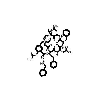 CC(=O)Oc1ccc(C[N+]2(CC(=O)N[C@@H](CCc3ccccc3)C(=O)N[C@@H](CC(C)C)C(=O)N[C@@H](Cc3ccccc3)C(=O)N[C@@H](CC(C)C)C(=O)[C@@]3(C)CO3)CCOCC2)cc1/C(C)=N/OPCc1ccccc1